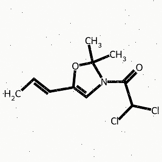 [CH2]C=CC1=CN(C(=O)C(Cl)Cl)C(C)(C)O1